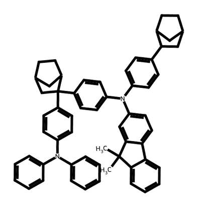 CC1(C)c2ccccc2-c2ccc(N(c3ccc(C4CC5CCC4C5)cc3)c3ccc(C4(c5ccc(N(c6ccccc6)c6ccccc6)cc5)CC5CCC4C5)cc3)cc21